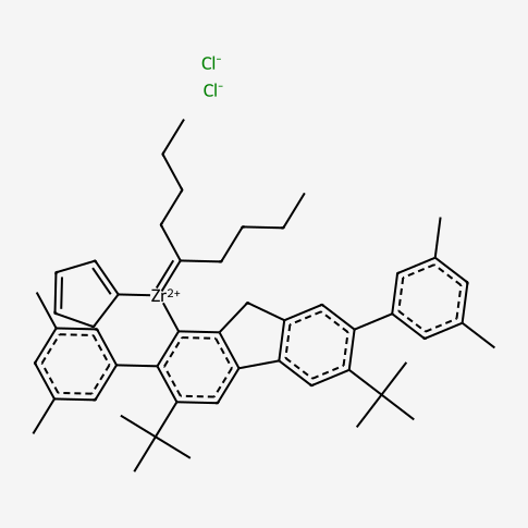 CCCC[C](CCCC)=[Zr+2]([C]1=CC=CC1)[c]1c2c(cc(C(C)(C)C)c1-c1cc(C)cc(C)c1)-c1cc(C(C)(C)C)c(-c3cc(C)cc(C)c3)cc1C2.[Cl-].[Cl-]